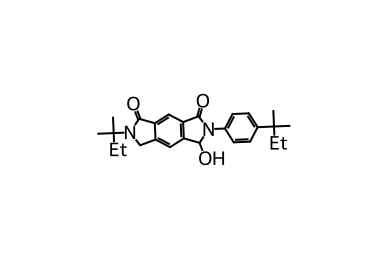 CCC(C)(C)c1ccc(N2C(=O)c3cc4c(cc3C2O)CN(C(C)(C)CC)C4=O)cc1